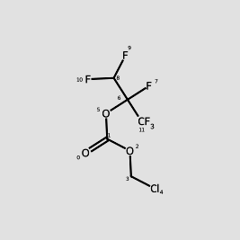 O=C(OCCl)OC(F)(C(F)F)C(F)(F)F